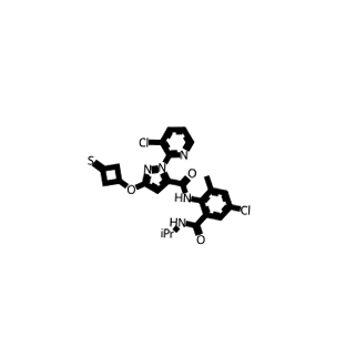 Cc1cc(Cl)cc(C(=O)NC(C)C)c1NC(=O)c1cc(OC2CC(=S)C2)nn1-c1ncccc1Cl